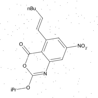 CCCCC=Cc1cc([N+](=O)[O-])cc2nc(OC(C)C)oc(=O)c12